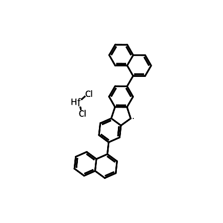 [CH]1c2cc(-c3cccc4ccccc34)ccc2-c2ccc(-c3cccc4ccccc34)cc21.[Cl][Hf][Cl]